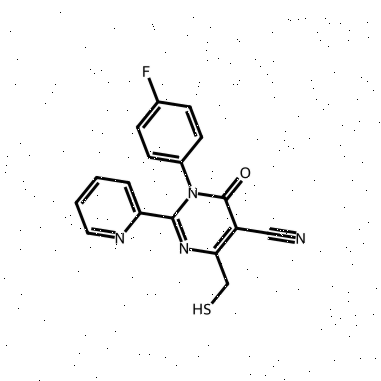 N#Cc1c(CS)nc(-c2ccccn2)n(-c2ccc(F)cc2)c1=O